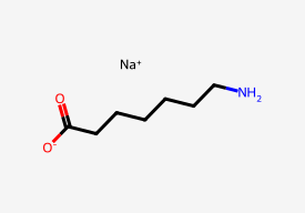 NCCCCCCC(=O)[O-].[Na+]